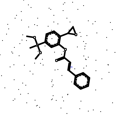 CO[Si](C)(OC)c1ccc(C2CO2)c(OC(=O)/C=C/c2ccccc2)c1